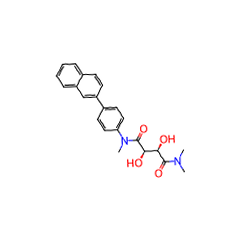 CN(C)C(=O)[C@H](O)[C@@H](O)C(=O)N(C)c1ccc(-c2ccc3ccccc3c2)cc1